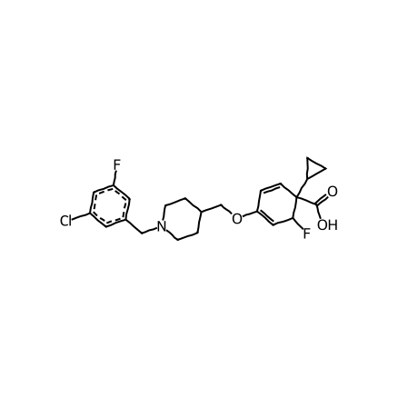 O=C(O)C1(C2CC2)C=CC(OCC2CCN(Cc3cc(F)cc(Cl)c3)CC2)=CC1F